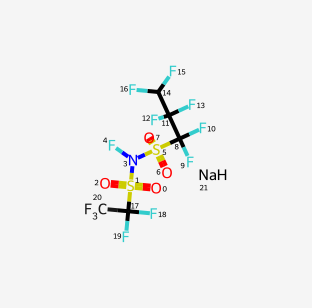 O=S(=O)(N(F)S(=O)(=O)C(F)(F)C(F)(F)C(F)F)C(F)(F)C(F)(F)F.[NaH]